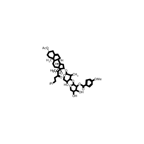 COc1ccc(C(=O)OC2C(OC3C(O)COC(O[C@H]4C[C@H]5[C@@H]6CC=C7C[C@@H](OC(C)=O)CC[C@]7(C)C6CC[C@]5(C)[C@@]4(O)[C@H](C)C(=O)CCC(C)C)C3C)OCC(O)C2O)cc1